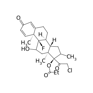 CCC(=O)O[C@]1(C(=O)CCl)C(C)C[C@H]2[C@@H]3CCC4=CC(=O)C=C[C@]4(C)[C@@]3(F)C(O)C[C@@]21C